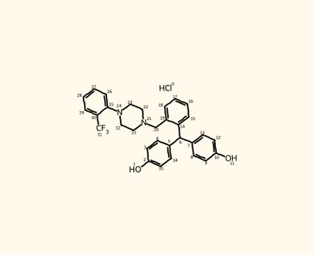 Cl.Oc1ccc(C(c2ccc(O)cc2)c2ccccc2CN2CCN(c3ccccc3C(F)(F)F)CC2)cc1